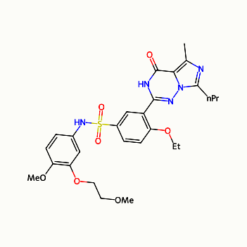 CCCc1nc(C)c2c(=O)[nH]c(-c3cc(S(=O)(=O)Nc4ccc(OC)c(OCCOC)c4)ccc3OCC)nn12